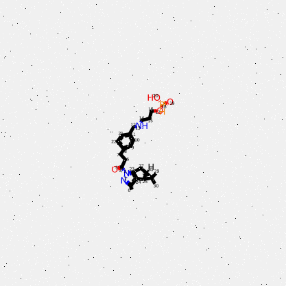 Cc1nn(C(=O)CCc2ccc(CNCCCO[PH](=O)O)cc2)c2c1C1[C@H](C2)C1(C)C